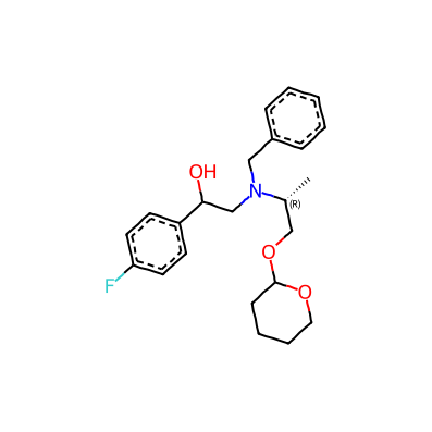 C[C@H](COC1CCCCO1)N(Cc1ccccc1)CC(O)c1ccc(F)cc1